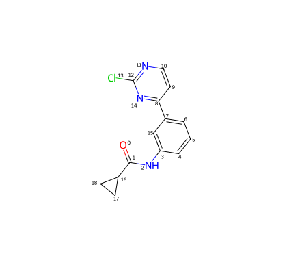 O=C(Nc1cccc(-c2ccnc(Cl)n2)c1)C1CC1